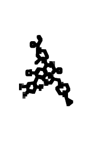 C=CC(=O)N1CCN(c2nc(=O)n3c4c(c(-c5cc(F)c(F)cc5F)c(Cl)cc24)SC[C@@H]3CN2CCN(C3CC3)CC2)[C@@H](C)C1